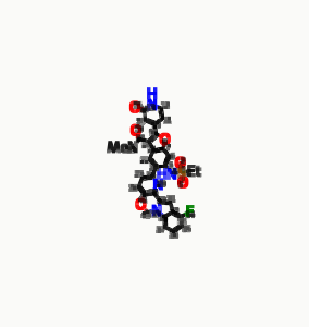 CCS(=O)(=O)Nc1cc2oc(-c3cc[nH]c(=O)c3)c(C(=O)NC)c2cc1-c1ccc2c(n1)-c1cc3c(F)cccc3n1CO2